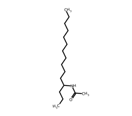 CCCCCCCCCCCC(CCC)NC(C)=O